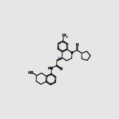 O=C(/C=C1\CCN(C(=O)C2CCCC2)c2cc(C(F)(F)F)ccc21)Nc1cccc2c1CC(O)CC2